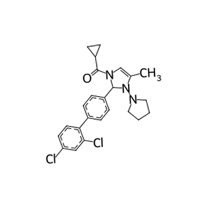 CC1=CN(C(=O)C2CC2)C(c2ccc(-c3ccc(Cl)cc3Cl)cc2)N1N1CCCC1